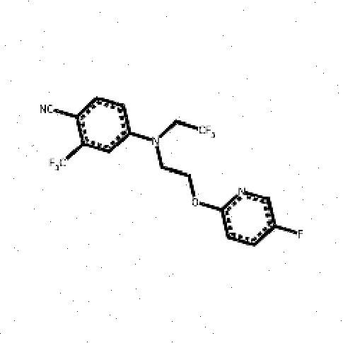 N#Cc1ccc(N(CCOc2ccc(F)cn2)CC(F)(F)F)cc1C(F)(F)F